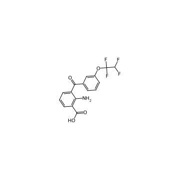 Nc1c(C(=O)O)cccc1C(=O)c1cccc(OC(F)(F)C(F)F)c1